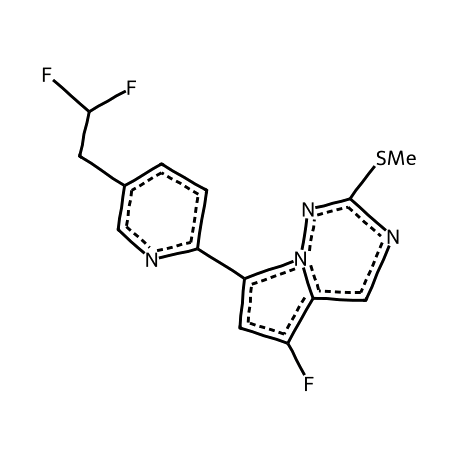 CSc1ncc2c(F)cc(-c3ccc(CC(F)F)cn3)n2n1